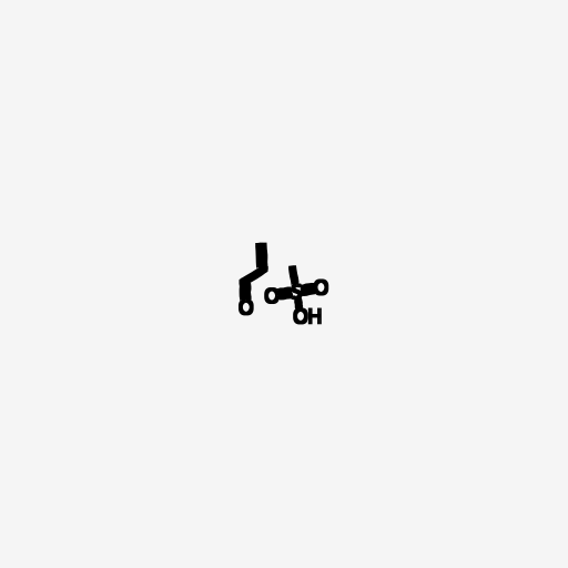 C=CC=O.CS(=O)(=O)O